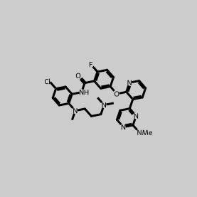 CNc1nccc(-c2cccnc2Oc2ccc(F)c(C(=O)Nc3cc(Cl)ccc3N(C)CCCN(C)C)c2)n1